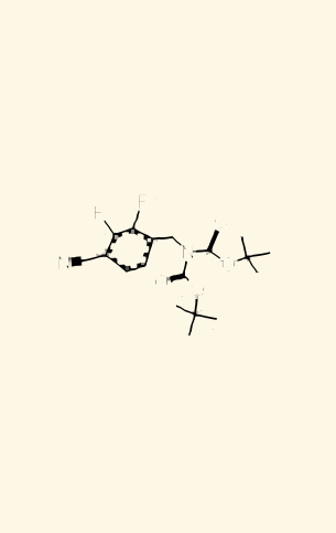 CC(C)(C)OC(=O)N(Cc1ccc(C#N)c(F)c1F)C(=O)OC(C)(C)C